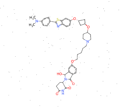 CN(C)c1ccc(-c2nc3ccc(O[C@H]4C[C@H](OC5CCN(CCCCCOc6ccc7c(c6)C(O)N(C6CCC(=O)NC6=O)C7=O)CC5)C4)cc3s2)cc1